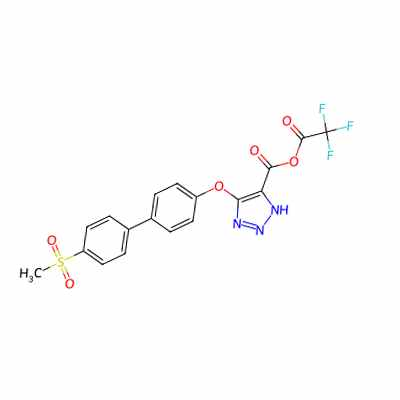 CS(=O)(=O)c1ccc(-c2ccc(Oc3nn[nH]c3C(=O)OC(=O)C(F)(F)F)cc2)cc1